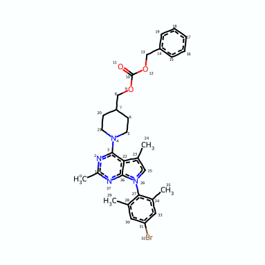 Cc1nc(N2CCC(COC(=O)OCc3ccccc3)CC2)c2c(C)cn(-c3c(C)cc(Br)cc3C)c2n1